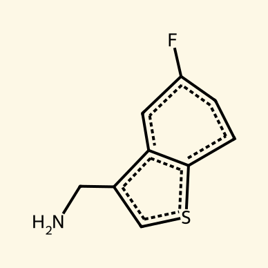 NCc1csc2ccc(F)cc12